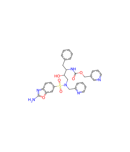 Nc1nc2ccc(S(=O)(=O)N(Cc3ccccn3)CC(O)C(Cc3ccccc3)NC(=O)OCc3cccnc3)cc2o1